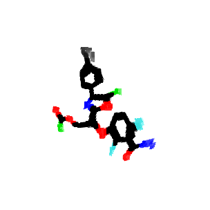 NC(=O)c1c(F)ccc(OC(COC(=O)Cl)c2nc(-c3ccc(C(F)(F)F)cc3)c(Cl)o2)c1F